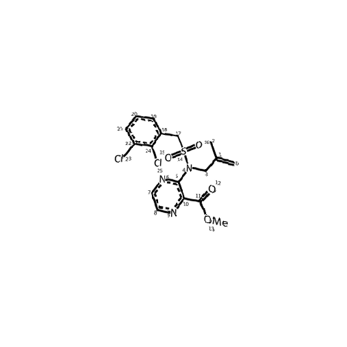 C=C(C)CN(c1nccnc1C(=O)OC)S(=O)(=O)Cc1cccc(Cl)c1Cl